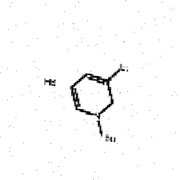 Br.CCCCN1C=CC=C(CC)C1